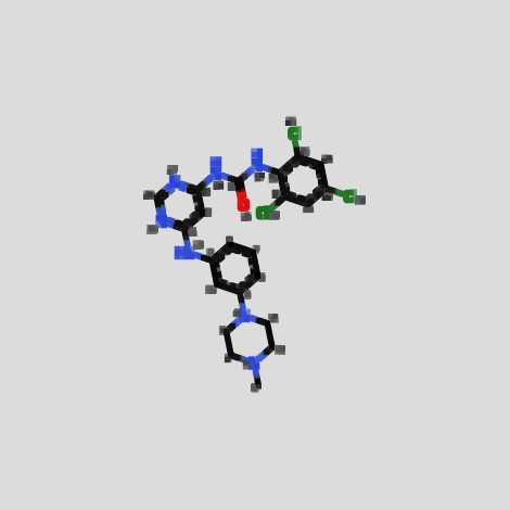 CN1CCN(c2cccc(Nc3cc(NC(=O)Nc4c(Cl)cc(Cl)cc4Cl)ncn3)c2)CC1